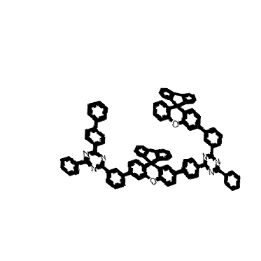 c1ccc(-c2ccc(-c3nc(-c4ccccc4)nc(-c4cccc(-c5ccc6c(c5)Oc5ccc(-c7ccc(-c8nc(-c9ccccc9)nc(-c9cccc(-c%10ccc%11c(c%10)Oc%10ccccc%10C%11%10c%11ccccc%11-c%11ccccc%11%10)c9)n8)cc7)cc5C65c6ccccc6-c6ccccc65)c4)n3)cc2)cc1